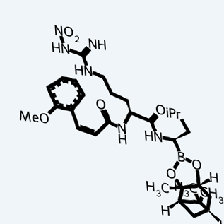 COc1ccccc1/C=C\C(=O)N[C@@H](CCCNC(=N)N[N+](=O)[O-])C(=O)N[C@@H](CC(C)C)B1O[C@@H]2C[C@@H]3C[C@@H](C3(C)C)[C@]2(C)O1